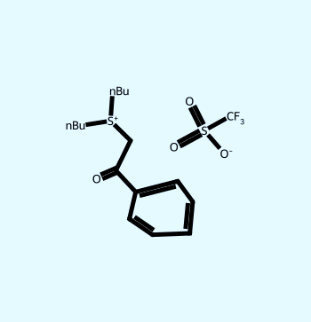 CCCC[S+](CCCC)CC(=O)c1ccccc1.O=S(=O)([O-])C(F)(F)F